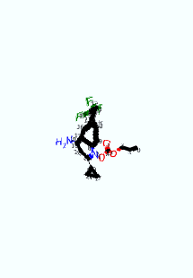 CCCOC(=O)ON1c2ccc(C(F)(F)F)cc2[C@@H](N)C[C@H]1C1CC1